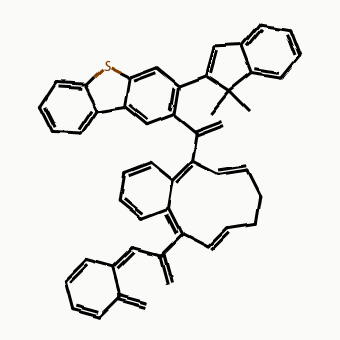 C=C(/C=c1/ccccc1=C)C1=c2\cccc\c2=C(C(=C)c2cc3c(cc2C2=Cc4ccccc4C2(C)C)sc2ccccc23)\C=C\CC\C=C\1